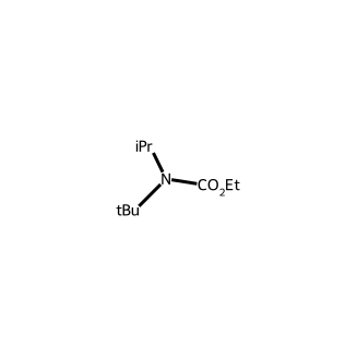 CCOC(=O)N(C(C)C)C(C)(C)C